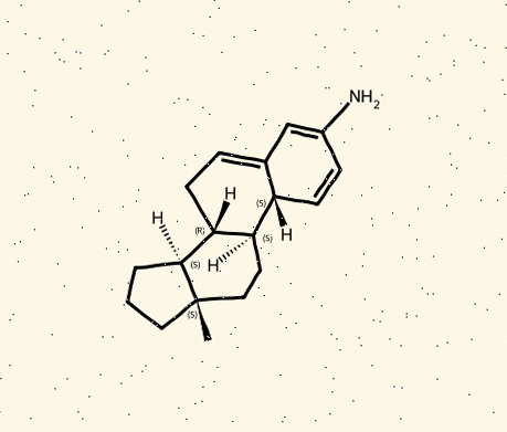 C[C@@]12CCC[C@H]1[C@@H]1CC=C3C=C(N)C=C[C@@H]3[C@H]1CC2